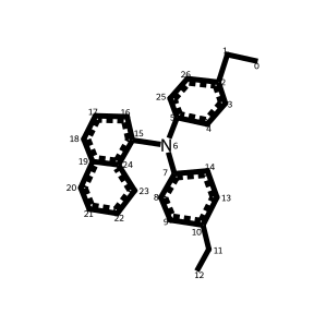 CCc1ccc(N(c2ccc(CC)cc2)c2cccc3ccccc23)cc1